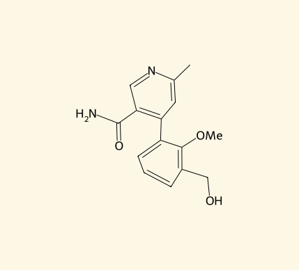 COc1c(CO)cccc1-c1cc(C)ncc1C(N)=O